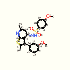 COc1ccc(S(=O)(=O)Nc2cc(C)nc3sc(C)c(-c4cccc(OC)c4)c23)cc1